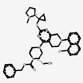 CN1CCC[C@H]1C1(Oc2nc3c(c(N4CCN(C(=O)OCc5ccccc5)[C@@H](CC#N)C4)n2)CCN(c2cccc4cccc(Cl)c24)C3)CC1